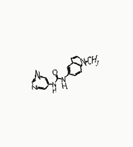 Cn1ccc2cc(NC(=O)Nc3cncnc3)ccc21